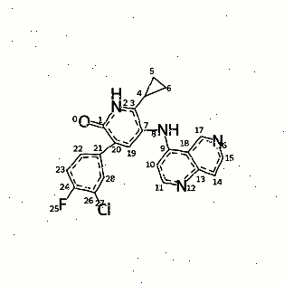 O=c1[nH]c(C2CC2)c(Nc2ccnc3ccncc23)cc1-c1ccc(F)c(Cl)c1